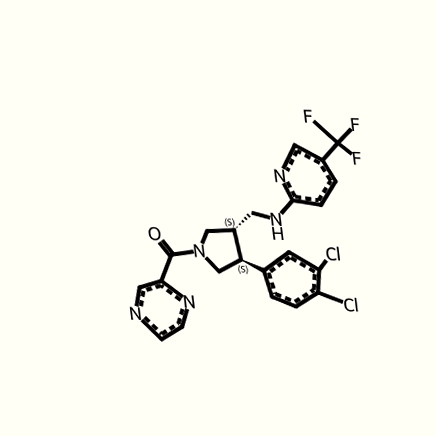 O=C(c1cnccn1)N1C[C@H](CNc2ccc(C(F)(F)F)cn2)[C@@H](c2ccc(Cl)c(Cl)c2)C1